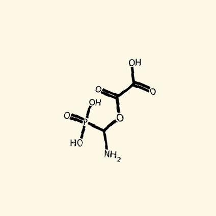 NC(OC(=O)C(=O)O)P(=O)(O)O